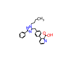 CCCCn1nc(-c2ccccc2)nc1Cc1ccc(-c2cccnc2C(=O)O)cc1